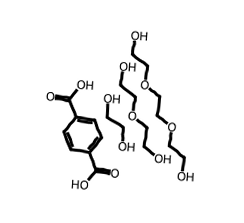 O=C(O)c1ccc(C(=O)O)cc1.OCCO.OCCOCCO.OCCOCCOCCO